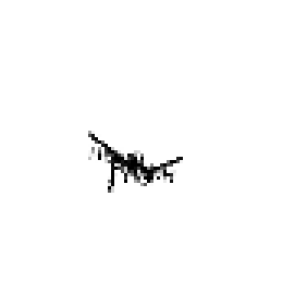 CCCCCCCCCC[C@@H](O)CN(CCCC[C@@H]1NC(=O)[C@@H](CCCCN(C[C@H](O)CCCCCCCCCC)C[C@H](C)O)NC1=O)C[C@H](O)CCCCCCCCCC